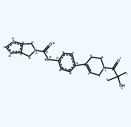 CC(C)(O)C(=O)N1CC=C(c2ccc(NC(=O)N3Cc4ncsc4C3)cc2)CC1